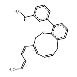 C\C=C/C=C\C1=C\C=C/Cc2cccc(-c3cccc(NC)c3)c2SC1